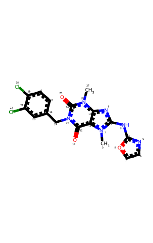 Cn1c(Nc2ncco2)nc2c1c(=O)n(Cc1ccc(Cl)c(Cl)c1)c(=O)n2C